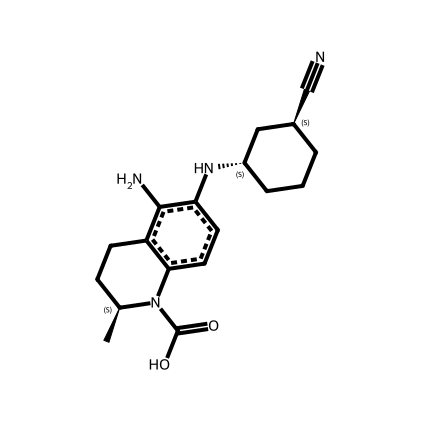 C[C@H]1CCc2c(ccc(N[C@H]3CCC[C@H](C#N)C3)c2N)N1C(=O)O